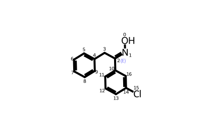 O/N=C(\Cc1ccccc1)c1cccc(Cl)c1